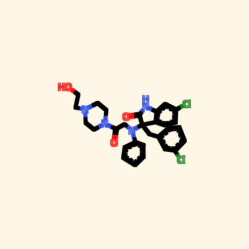 O=C(CN(c1ccccc1)C1(Cc2cccc(Cl)c2)C(=O)Nc2cc(Cl)ccc21)N1CCN(CCO)CC1